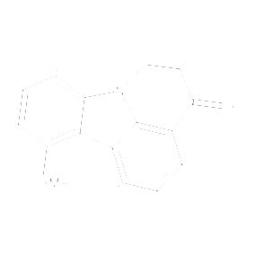 COc1cccc2c1c1cccc3c1n2CCC3=O